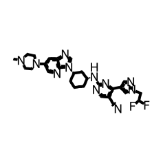 CN1CCN(c2cnc3c(c2)ncn3[C@H]2CCC[C@@H](Nc3ncc(C#N)c(-c4cnn(CC(F)F)c4)n3)C2)CC1